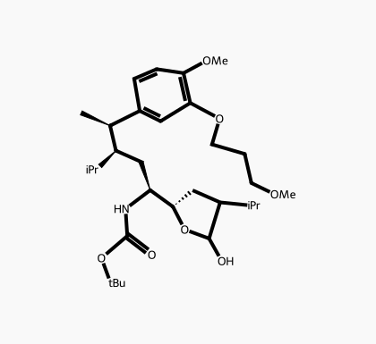 COCCCOc1cc([C@H](C)[C@@H](C[C@H](NC(=O)OC(C)(C)C)[C@@H]2CC(C(C)C)C(O)O2)C(C)C)ccc1OC